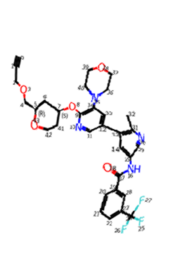 C#CCOC[C@H]1C[C@@H](Oc2ncc(-c3cc(NC(=O)c4cccc(C(F)(F)F)c4)cnc3C)cc2N2CCOCC2)CCO1